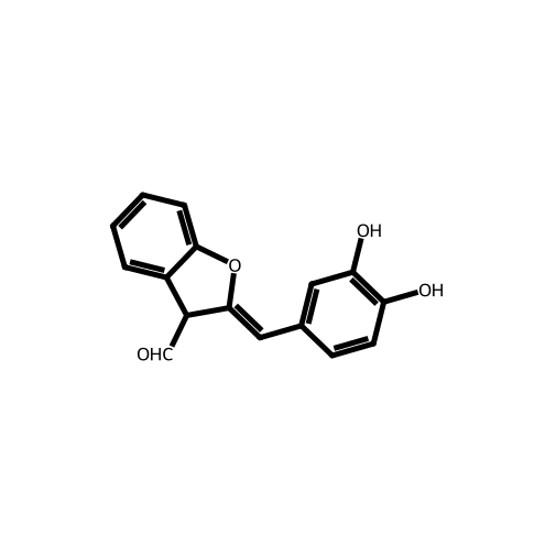 O=CC1C(=Cc2ccc(O)c(O)c2)Oc2ccccc21